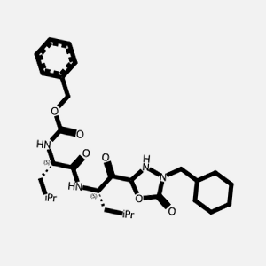 CC(C)C[C@H](NC(=O)OCc1ccccc1)C(=O)N[C@@H](CC(C)C)C(=O)C1NN(CC2CCCCC2)C(=O)O1